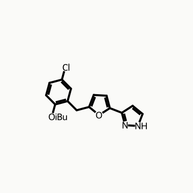 CC(C)COc1ccc(Cl)cc1Cc1ccc(-c2cc[nH]n2)o1